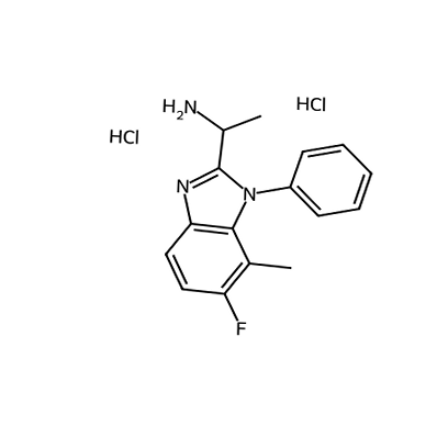 Cc1c(F)ccc2nc(C(C)N)n(-c3ccccc3)c12.Cl.Cl